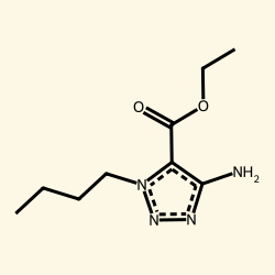 CCCCn1nnc(N)c1C(=O)OCC